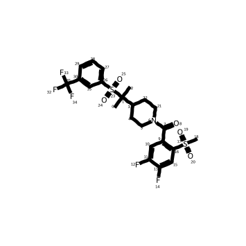 CC(C)(C1CCN(C(=O)c2cc(F)c(F)cc2S(C)(=O)=O)CC1)S(=O)(=O)c1cccc(C(F)(F)F)c1